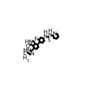 Cc1cnc(-c2ccc(-c3ccc(NC(=S)Nc4ccccn4)cc3F)c3c2C(=O)NC3)[nH]1